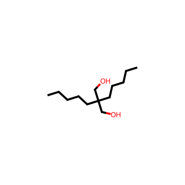 CCCCCC(CO)(CO)CCCCC